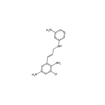 Nc1cccc(NC/C=C/c2cc(N)cc(Cl)c2N)c1